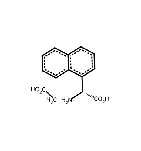 CC(=O)O.N[C@@H](C(=O)O)c1cccc2ccccc12